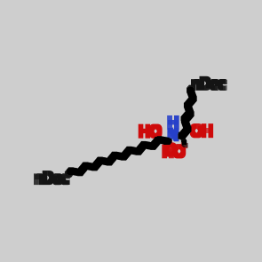 CCCCCCCCCCCCC/C=C/[C@@H](O)[C@H](CO)NC(=O)C(O)CCCCCCCCCCCCCCCCCCCCCC